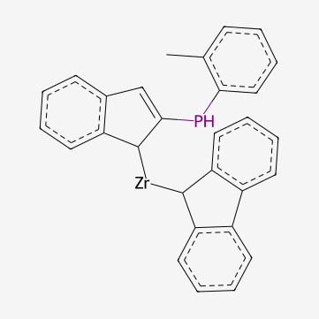 Cc1ccccc1PC1=Cc2ccccc2[CH]1[Zr][CH]1c2ccccc2-c2ccccc21